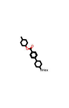 CCCCCCC1CCC(c2ccc(C(=O)OC3CCC(C)CC3)cc2)CC1